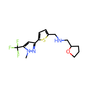 Cn1nc(-c2ccc(CNCC3CCCO3)s2)cc1C(F)(F)F